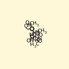 CNC(=O)Oc1noc(C)c1Nc1nc(Nc2ccc3c(c2)CCOC(=O)N3C)ncc1Cl